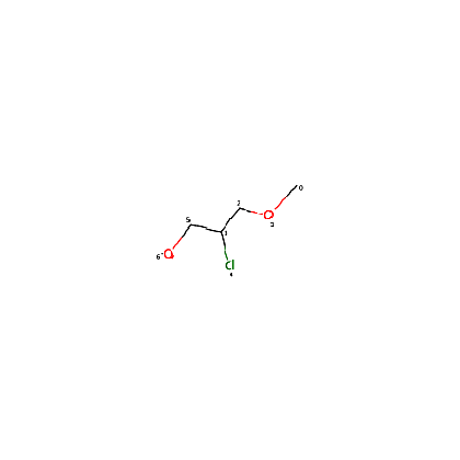 COCC(Cl)C[O]